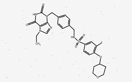 CCn1cnc2c1c(=O)[nH]c(=O)n2Cc1ccc(CNS(=O)(=O)c2ccc(OC3CCOCC3)c(F)c2)cc1